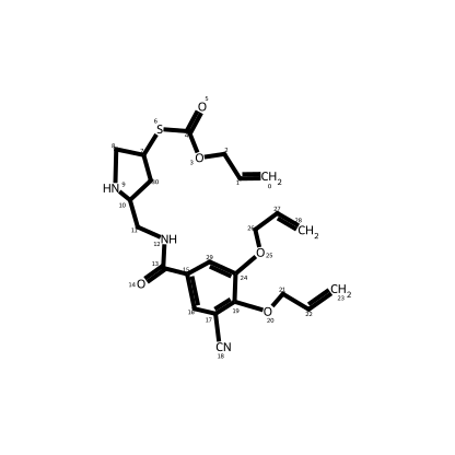 C=CCOC(=O)SC1CNC(CNC(=O)c2cc(C#N)c(OCC=C)c(OCC=C)c2)C1